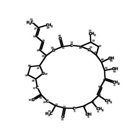 C=C1/C=C(\C)C(C)C(O)CC(=O)C(C)CC(=O)CC2CCC(O2)C(/C=C/C=C(C)C)OC(=O)CC2OC(CC2C)C(O)C1O